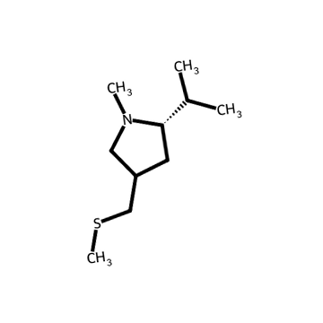 CSCC1C[C@@H](C(C)C)N(C)C1